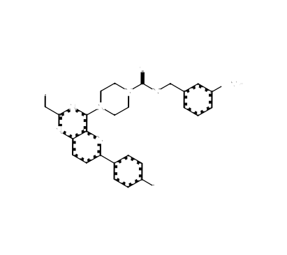 COc1cccc(CNC(=O)N2CCN(c3nc(CCl)nc4ccc(-c5ccc(F)cc5)nc34)CC2)c1